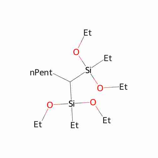 CCCCCC([Si](CC)(OCC)OCC)[Si](CC)(OCC)OCC